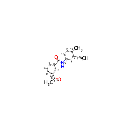 C#Cc1cc(NC(=O)c2cccc(C(C)=O)c2)ccc1C